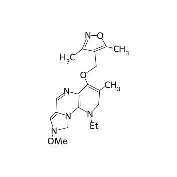 CCN1CC(C)=C(OCc2c(C)noc2C)C2=C1N1CN(OC)C=C1C=N2